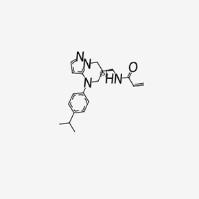 C=CC(=O)NC[C@H]1CN(c2ccc(C(C)C)cc2)c2ccnn2C1